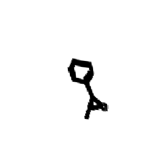 C[C@@H]1OC1c1ccccc1